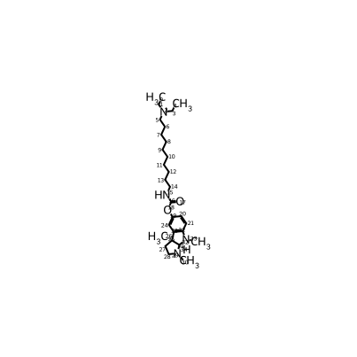 CCN(CC)CCCCCCCCCCNC(=O)Oc1ccc2c(c1)[C@]1(C)CCN(C)[C@@H]1N2C